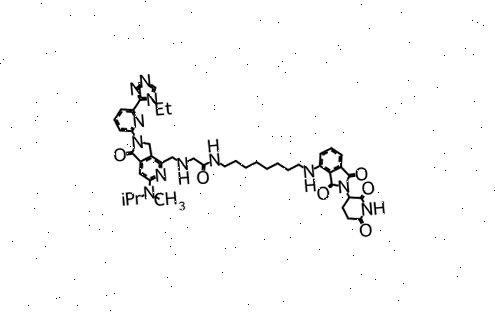 CCn1cnnc1-c1cccc(N2Cc3c(cc(N(C)C(C)C)nc3CNCC(=O)NCCCCCCCCNc3cccc4c3C(=O)N(C3CCC(=O)NC3=O)C4=O)C2=O)n1